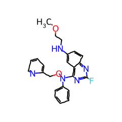 COCCNc1ccc2nc(F)nc(N(OCc3ccccn3)c3ccccc3)c2c1